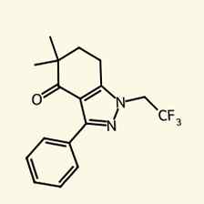 CC1(C)CCc2c(c(-c3ccccc3)nn2CC(F)(F)F)C1=O